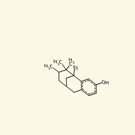 CCC12CC(Cc3ccc(O)cc31)CC(C)C2(C)C